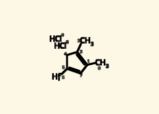 CC1=C(C)C[C]([Hf])=C1.Cl.Cl